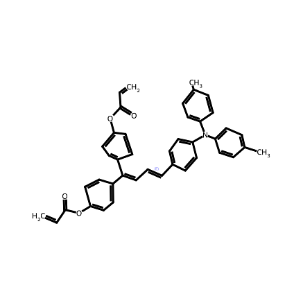 C=CC(=O)Oc1ccc(C(=C/C=C/c2ccc(N(c3ccc(C)cc3)c3ccc(C)cc3)cc2)c2ccc(OC(=O)C=C)cc2)cc1